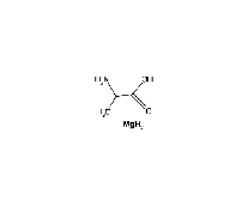 CC(N)C(=O)O.[MgH2]